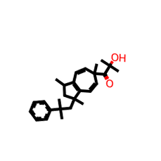 CC1CC(C)(CC(C)(C)c2ccccc2)C2=C1C=CC(C)(C(=O)C(C)(C)O)C=C2